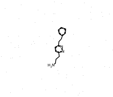 NCCCc1ccc(CCc2ccccc2)nn1